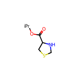 CC(C)OC(=O)C1CSCN1